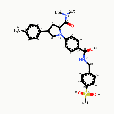 CCN(CC)C(=O)C1CC(c2ccc(C(F)(F)F)cc2)CN1c1ccc(C(=O)NCc2ccc(S(=O)(=O)CC)cc2)cc1